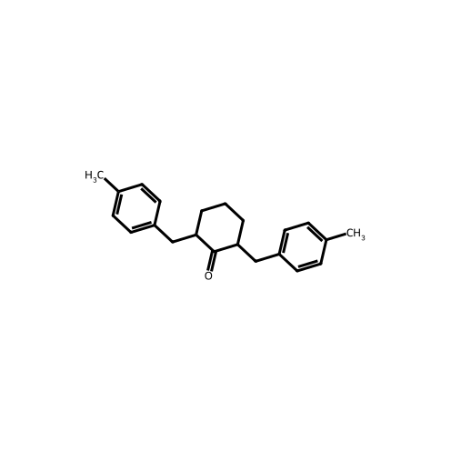 Cc1ccc(CC2CCCC(Cc3ccc(C)cc3)C2=O)cc1